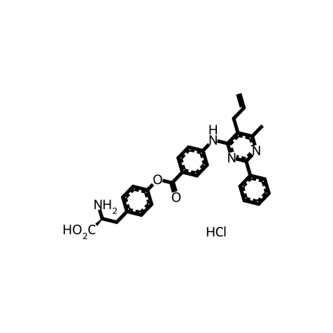 C=CCc1c(C)nc(-c2ccccc2)nc1Nc1ccc(C(=O)Oc2ccc(C[C@H](N)C(=O)O)cc2)cc1.Cl